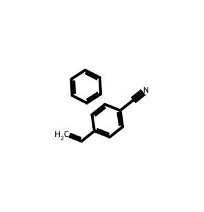 C=Cc1ccc(C#N)cc1.c1ccccc1